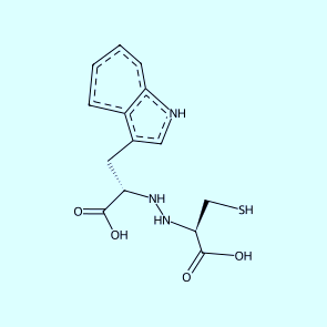 O=C(O)[C@H](CS)NN[C@@H](Cc1c[nH]c2ccccc12)C(=O)O